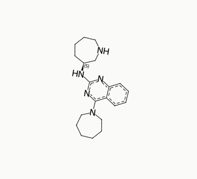 c1ccc2c(N3CCCCCC3)nc(N[C@H]3CCCCNC3)nc2c1